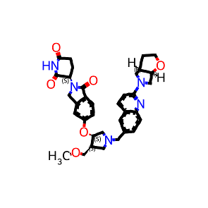 COC[C@@H]1CN(Cc2ccc3nc(N4C[C@H]5CCO[C@H]5C4)ccc3c2)C[C@H]1Oc1ccc2c(c1)CN([C@H]1CCC(=O)NC1=O)C2=O